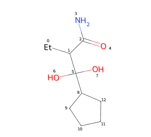 CCC(C(N)=O)C(O)(O)C1CCCC1